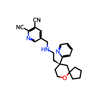 N#Cc1cc(CNCC[C@]2(c3ccccn3)CCOC3(CCCC3)C2)cnc1C#N